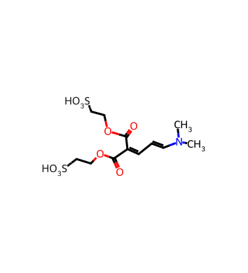 CN(C)/C=C/C=C(C(=O)OCCS(=O)(=O)O)C(=O)OCCS(=O)(=O)O